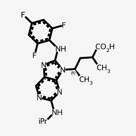 CC(C)Nc1ncc2nc(Nc3c(F)cc(F)cc3F)n([C@H](C)CC(C)C(=O)O)c2n1